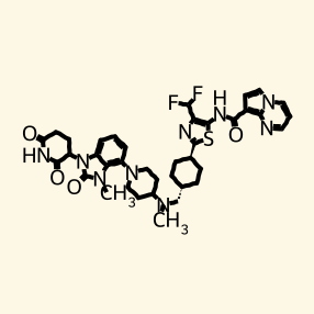 CN(C[C@H]1CC[C@H](c2nc(C(F)F)c(NC(=O)c3ccn4cccnc34)s2)CC1)C1CCN(c2cccc3c2n(C)c(=O)n3C2CCC(=O)NC2=O)CC1